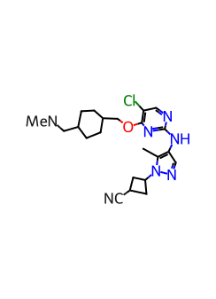 CNCC1CCC(COc2nc(Nc3cnn(C4CC(C#N)C4)c3C)ncc2Cl)CC1